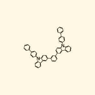 c1ccc(-c2ccc(-n3c4ccccc4c4cc(-c5cccc(-c6ccc7c(c6)c6ccccc6n7-c6ccc(-c7ccccc7)cc6)c5)ccc43)cc2)cc1